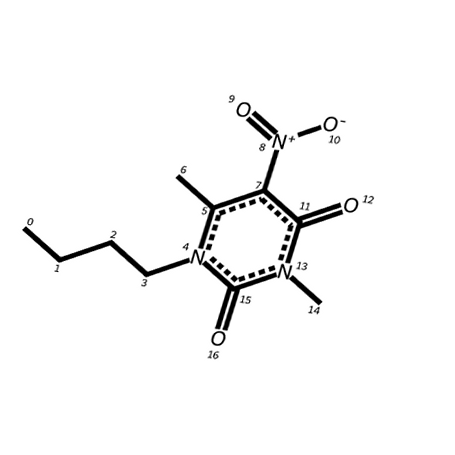 CCCCn1c(C)c([N+](=O)[O-])c(=O)n(C)c1=O